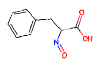 O=NC(Cc1ccccc1)C(=O)O